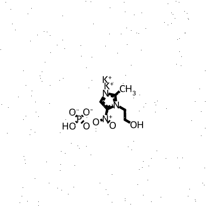 Cc1ncc([N+](=O)[O-])n1CCO.O=P([O-])([O-])O.[K+].[K+]